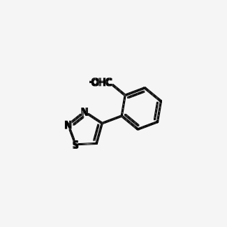 O=[C]c1ccccc1-c1csnn1